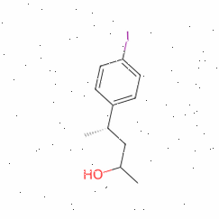 CC(O)C[C@H](C)c1ccc(I)cc1